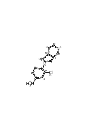 Nc1ccc(-n2cc3[c]nccc3n2)c(Cl)c1